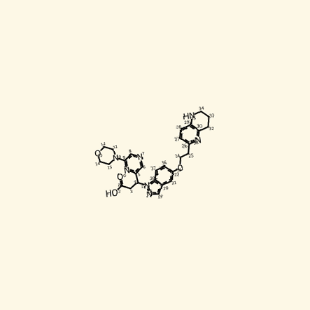 O=C(O)CC(c1cncc(N2CCOCC2)n1)n1ncc2cc(OCCc3ccc4c(n3)CCCN4)ccc21